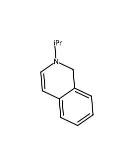 CC(C)N1C=Cc2ccccc2C1